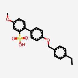 CCc1ccc(COc2ccc(-c3ccc(OC)cc3S(=O)(=O)O)cc2)cc1